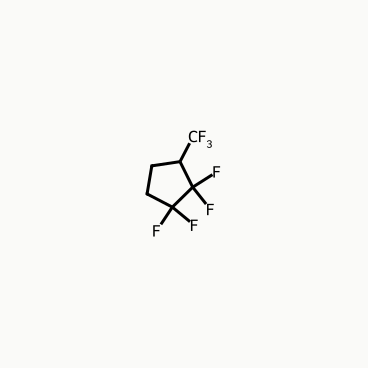 FC(F)(F)C1CCC(F)(F)C1(F)F